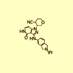 CC(C)N1Cc2ccc(Nc3nn([C@H]4COCCC4C#N)c4cc[nH]c(=O)c34)cc2C1